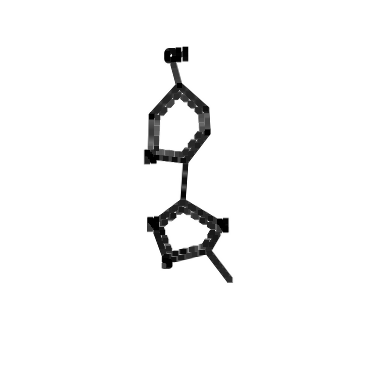 Cc1nc(-c2ccc(O)cn2)ns1